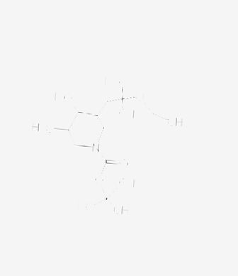 CCOC(C)(C)CC1CN(C(=O)OC(C)(C)C)CC(C)C1O